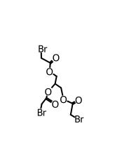 O=C(CBr)OCC(COC(=O)CBr)OC(=O)CBr